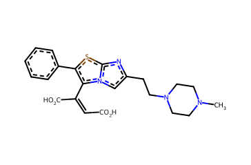 CN1CCN(CCc2cn3c(/C(=C\C(=O)O)C(=O)O)c(-c4ccccc4)sc3n2)CC1